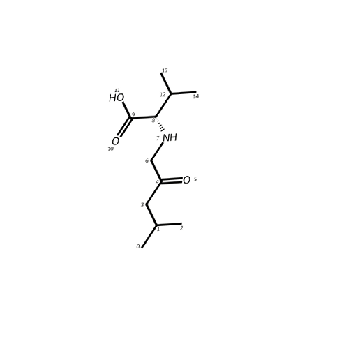 CC(C)CC(=O)CN[C@H](C(=O)O)C(C)C